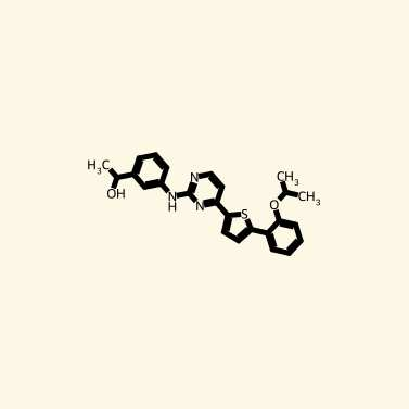 CC(C)Oc1ccccc1-c1ccc(-c2ccnc(Nc3cccc(C(C)O)c3)n2)s1